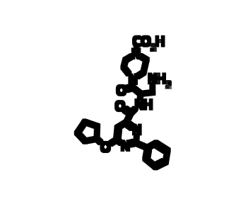 NCC(NC(=O)c1cc(OC2CCCC2)nc(-c2ccccc2)n1)C(=O)N1CCN(C(=O)O)CC1